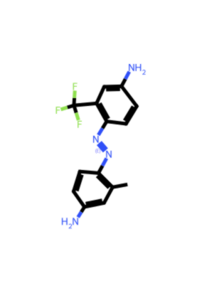 Cc1cc(N)ccc1/N=N/c1ccc(N)cc1C(F)(F)F